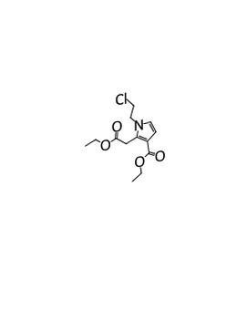 CCOC(=O)Cc1c(C(=O)OCC)ccn1CCCl